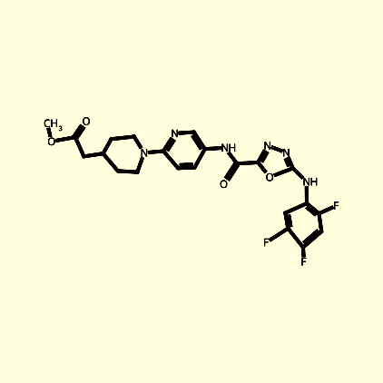 COC(=O)CC1CCN(c2ccc(NC(=O)c3nnc(Nc4cc(F)c(F)cc4F)o3)cn2)CC1